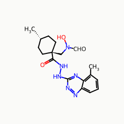 Cc1cccc2nnc(NNC(=O)[C@]3(CN(O)C=O)CC[C@H](C)CC3)nc12